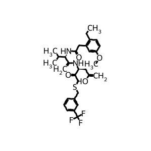 C=C(O)C[C@H](NC(=C)[C@@H](NC(=O)Cc1cc(OC)ccc1CC)C(C)C)C(=O)CSCc1cccc(C(F)(F)F)c1